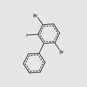 Brc1ccc(Br)c(-c2ccccc2)c1I